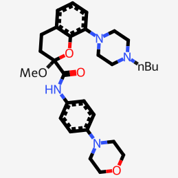 CCCCN1CCN(c2cccc3c2OC(OC)(C(=O)Nc2ccc(N4CCOCC4)cc2)CC3)CC1